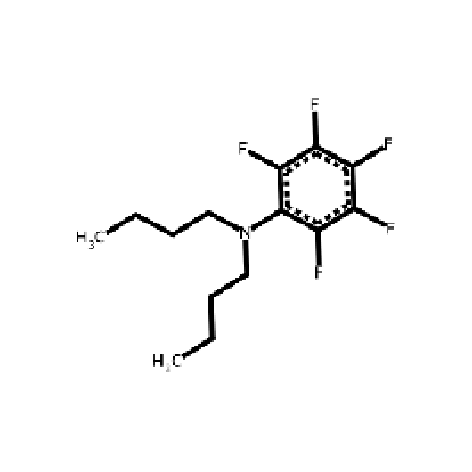 CCCCN(CCCC)c1c(F)c(F)c(F)c(F)c1F